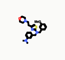 COc1cccc(CN(Cc2cccc(N(C)C)c2)c2nc(CCN3CCOCC3)cs2)c1